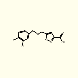 O=C(O)c1cc(COCc2ccc(F)c(Cl)c2)on1